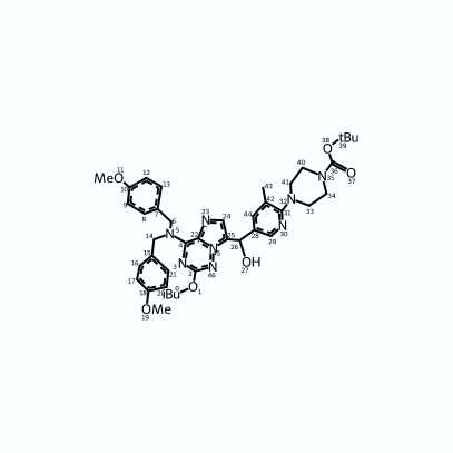 CCC(C)Oc1nc(N(Cc2ccc(OC)cc2)Cc2ccc(OC)cc2)c2ncc(C(O)c3cnc(N4CCN(C(=O)OC(C)(C)C)CC4)c(C)c3)n2n1